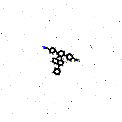 N#Cc1ccc(-c2ccc(-c3ccc(C#N)cc3)c3c2-c2cccc4c(-c5ccccc5)ccc-3c24)cc1